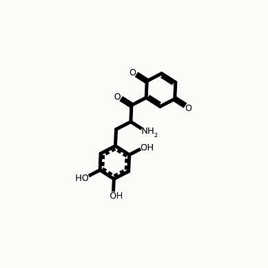 NC(Cc1cc(O)c(O)cc1O)C(=O)C1=CC(=O)C=CC1=O